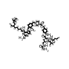 CCCC(=O)N[C@H](C(=O)N[C@@H](CCCNC(N)=O)C(=O)Nc1ccc(COC(=O)N2CCN(Cc3ccc(Cn4ccc5nc(N)nc(NCCCCCC(CC)CCC(C)(C)CC)c54)c(OC)c3)CC2)cc1)C(C)C